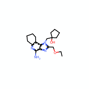 CCOCc1nc2c(N)nc3c(c2n1CC1(O)CCCC1)CCCC3